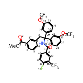 COC(=O)c1cccc(CC(NC(=O)c2ccc(F)c(C(F)(F)F)c2)(c2cccc(OC(F)(F)F)c2)c2cccc(OC(F)(F)F)c2)c1